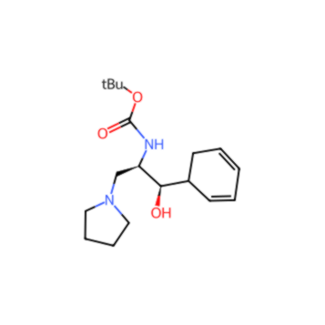 CC(C)(C)OC(=O)N[C@H](CN1CCCC1)[C@H](O)C1C=CC=CC1